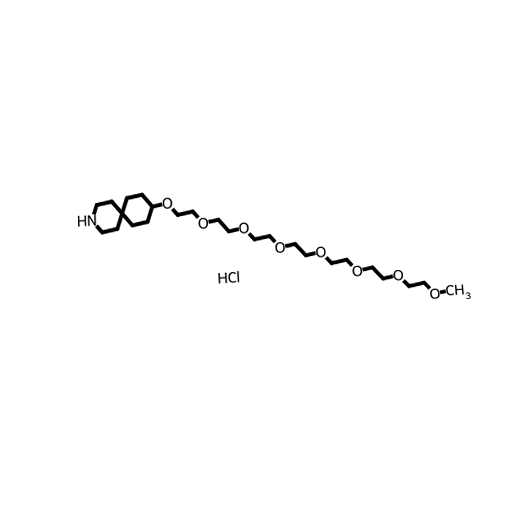 COCCOCCOCCOCCOCCOCCOCCOC1CCC2(CCNCC2)CC1.Cl